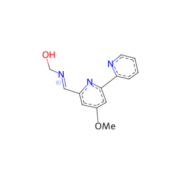 COc1cc(/C=N/CO)nc(-c2ccccn2)c1